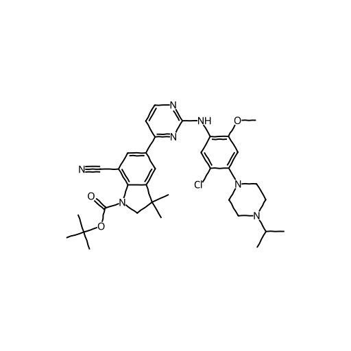 COc1cc(N2CCN(C(C)C)CC2)c(Cl)cc1Nc1nccc(-c2cc(C#N)c3c(c2)C(C)(C)CN3C(=O)OC(C)(C)C)n1